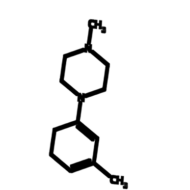 CC1=CCCC(N2CCN(C)CC2)=C1